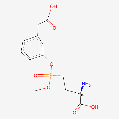 COP(=O)(CC[C@@H](N)C(=O)O)Oc1cccc(CC(=O)O)c1